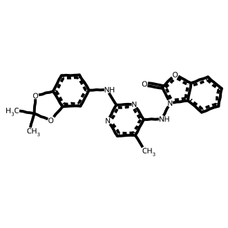 Cc1cnc(Nc2ccc3c(c2)OC(C)(C)O3)nc1Nn1c(=O)oc2ccccc21